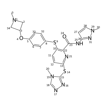 CN1CC(Oc2ccc(Sc3ccc(Sc4nncn4C)nc3C(=O)Nc3ccn(C)n3)cc2)C1